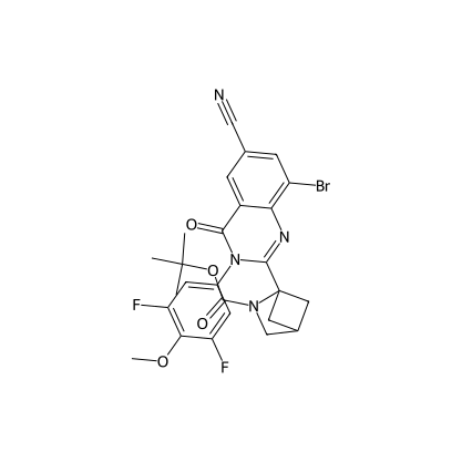 COc1c(F)cc(-n2c(C34CC(CN3C(=O)OC(C)(C)C)C4)nc3c(Br)cc(C#N)cc3c2=O)cc1F